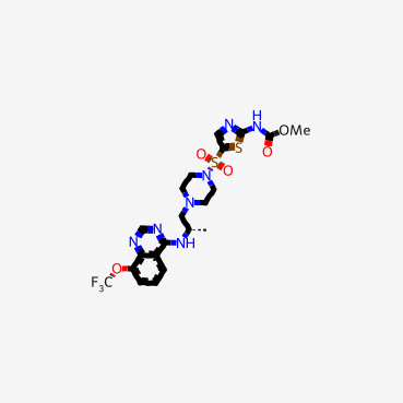 COC(=O)Nc1ncc(S(=O)(=O)N2CCN(C[C@H](C)Nc3ncnc4c(OC(F)(F)F)cccc34)CC2)s1